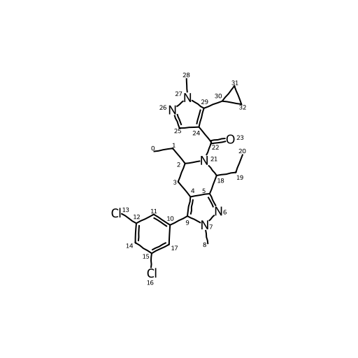 CCC1Cc2c(nn(C)c2-c2cc(Cl)cc(Cl)c2)C(CC)N1C(=O)c1cnn(C)c1C1CC1